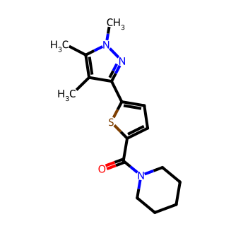 Cc1c(-c2ccc(C(=O)N3CCCCC3)s2)nn(C)c1C